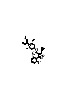 C=C/C=C(\C=C)N1[C@@H](CC)C[C@@H](OC(=O)c2c(-c3c(Cl)cccc3Cl)noc2C2CC2)C[C@H]1C